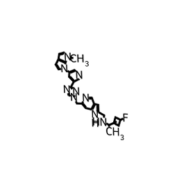 CC(NCc1cc2cnc(Cn3cnc(-c4cncc(-n5ccc6ccn(C)c65)c4)n3)cc2[nH]1)C12CC(F)(C1)C2